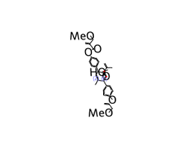 C=C(COC)Oc1ccc(C(=C/C(C)O)/C(C)=C\C(C(=O)C(=C)C)c2ccc(OC(=O)C(=C)COC)cc2)cc1